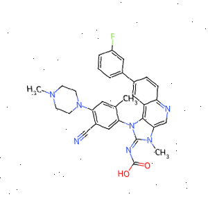 Cc1cc(N2CCN(C)CC2)c(C#N)cc1-n1c(=NC(=O)O)n(C)c2cnc3ccc(-c4cccc(F)c4)cc3c21